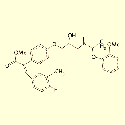 COC(=O)C(=Cc1ccc(F)c(C)c1)c1ccc(OCC(O)CNC(C)Oc2ccccc2OC)cc1